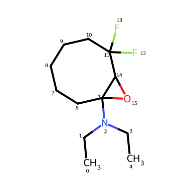 CCN(CC)C12CCCCCC(F)(F)C1O2